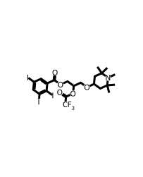 CN1C(C)(C)CC(OCC(COC(=O)c2cc(I)cc(I)c2I)OC(=O)C(F)(F)F)CC1(C)C